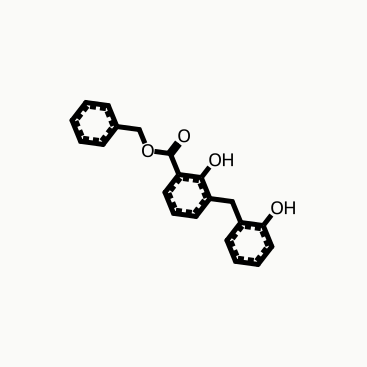 O=C(OCc1ccccc1)c1cccc(Cc2ccccc2O)c1O